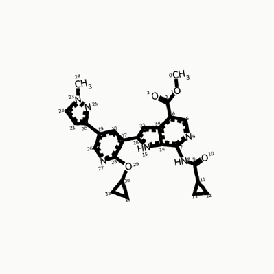 COC(=O)c1cnc(NC(=O)C2CC2)c2[nH]c(-c3cc(-c4ccn(C)n4)cnc3OC3CC3)cc12